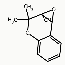 CC1(C)Oc2ccccc2C2OC21C#N